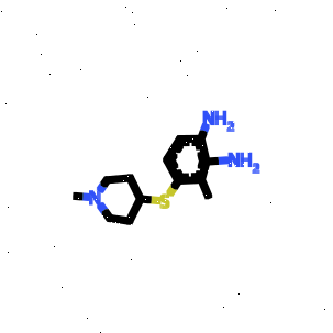 Cc1c(SC2CCN(C)CC2)ccc(N)c1N